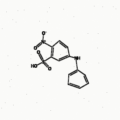 O=[N+]([O-])c1ccc(Nc2ccccc2)cc1S(=O)(=O)O